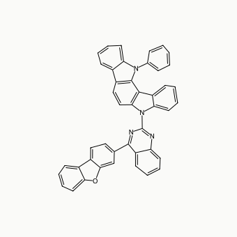 c1ccc(-n2c3ccccc3c3ccc4c(c5ccccc5n4-c4nc(-c5ccc6c(c5)oc5ccccc56)c5ccccc5n4)c32)cc1